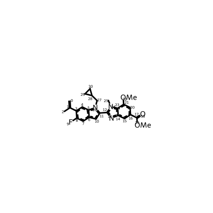 C=C(C)c1cc2c(cc1F)cc(-c1nc3cc(C(=O)OC)cc(OC)c3n1C)n2CC1CC1